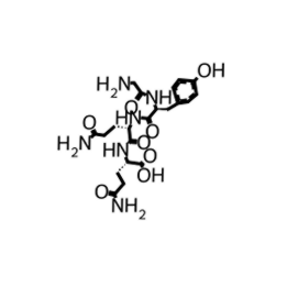 NCC(=O)N[C@@H](Cc1ccc(O)cc1)C(=O)N[C@@H](CCC(N)=O)C(=O)N[C@@H](CCC(N)=O)C(=O)O